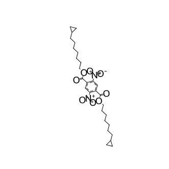 O=C(OCCCCCCCC1CC1)c1cc([N+](=O)[O-])c(C(=O)OCCCCCCCC2CC2)cc1[N+](=O)[O-]